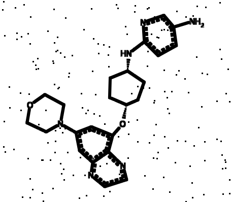 Nc1ccc(N[C@H]2CC[C@@H](Oc3cc(N4CCOCC4)cc4nccnc34)CC2)nc1